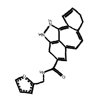 O=C(NCc1ccco1)C1=CC2=CC=C3CCC=CC3=C3NNC(=C23)C1